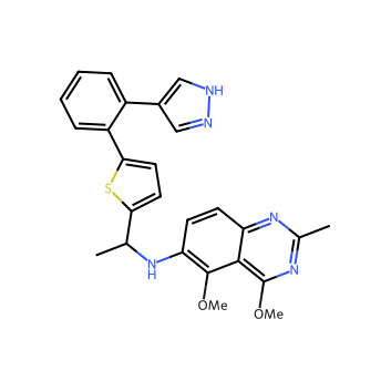 COc1nc(C)nc2ccc(NC(C)c3ccc(-c4ccccc4-c4cn[nH]c4)s3)c(OC)c12